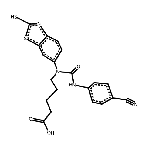 N#Cc1ccc(NC(=O)N(CCCCC(=O)O)c2ccc3nc(S)sc3c2)cc1